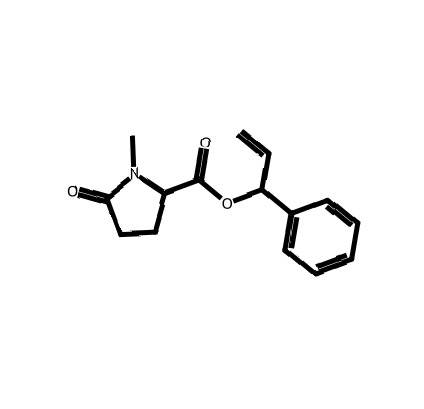 C=CC(OC(=O)C1CCC(=O)N1C)c1ccccc1